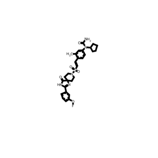 Cc1cc(N(C(N)=O)C2CCCC2)ccc1/C=C/S(=O)(=O)N1CCC2(CC1)N=C(c1cccc(OF)c1)NC2=O